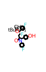 CC(C)(C)[Si](C)(C)O[C@@H](CCC1C(=O)N(c2ccc(F)cc2)C1c1ccc(O)cc1F)c1ccc(F)cc1